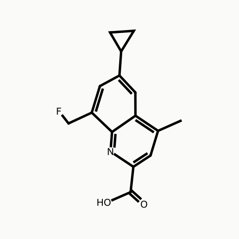 Cc1cc(C(=O)O)nc2c(CF)cc(C3CC3)cc12